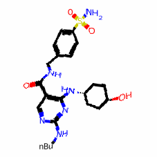 CCCCNc1ncc(C(=O)NCc2ccc(S(N)(=O)=O)cc2)c(N[C@H]2CC[C@H](O)CC2)n1